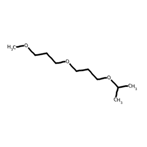 COCCCOCCCO[C](C)C